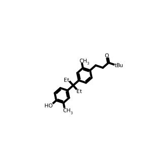 CCC(CC)(c1ccc(O)c(C)c1)c1ccc(CCC(=O)C(C)(C)C)c(C)c1